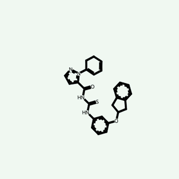 O=C(NC(=S)Nc1cccc(OC2Cc3ccccc3C2)c1)c1ccnn1C1=CC=CCC1